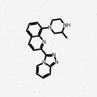 CC1CN(c2cccc3ccc(-c4nnc5ccccn45)nc23)CCN1